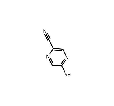 N#Cc1cnc(S)cn1